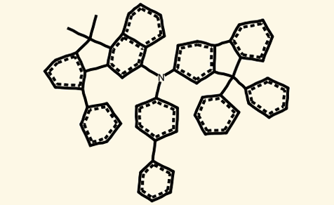 CC1(C)c2cccc(-c3ccccc3)c2-c2cc(N(c3ccc(-c4ccccc4)cc3)c3ccc4c(c3)C(c3ccccc3)(c3ccccc3)c3ccccc3-4)c3ccccc3c21